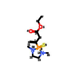 C=C(CC(=O)OCC)P1(=S)N(C)CCN1C